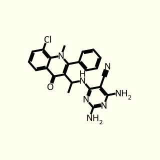 CC(Nc1nc(N)nc(N)c1C#N)c1c(-c2ccccc2)n(C)c2c(Cl)cccc2c1=O